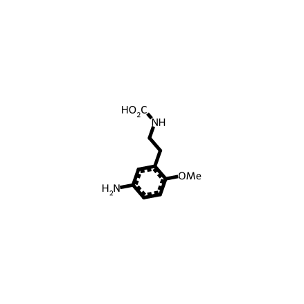 COc1ccc(N)cc1CCNC(=O)O